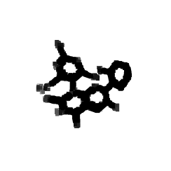 Cc1nc(Br)nc(C(C)C)c1-n1c(=O)[nH]c(=O)c2cc(Cl)c(-c3ccccc3F)nc21